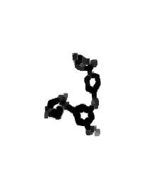 CC(C)(C)OC(=O)N1CCC(Oc2cc(-n3cncn3)cc(C(F)(F)F)c2)CC1